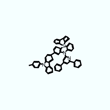 Cc1ccc(-n2c3ccccc3c3cc(-c4ccc5c(c4)N(c4cc(-c6ccccc6)cc(-c6ccccc6)n4)c4ccccc4[Si]54c5ccccc5-c5ccccc54)ccc32)cc1